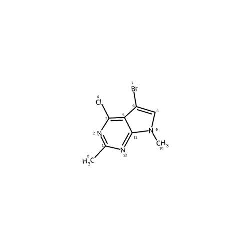 Cc1nc(Cl)c2c(Br)cn(C)c2n1